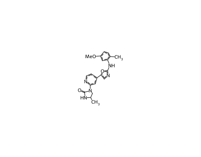 COc1ccc(C)c(Nc2ncc(-c3ccnc(N4CC(C)NC4=O)c3)o2)c1